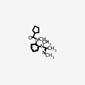 CN=C(C)N(C)c1ccccc1N(C)C(=O)C1CCCC1